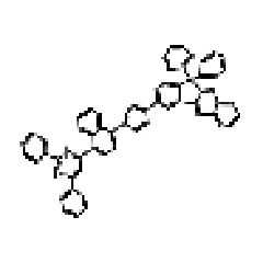 c1ccc(-c2cc(-c3ccc(-c4ccc(-c5ccc6c(c5)-c5cc7ccccc7cc5C6(c5ccccc5)c5ccccc5)cc4)c4ccccc34)nc(-c3ccccc3)n2)cc1